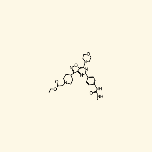 CCOC(=O)CN1CCC(c2noc3c(N4CCOCC4)nc(-c4ccc(NC(=O)NC)cc4)nc23)CC1